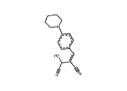 N#CC(=Cc1ccc(N2CCCCC2)cc1)C(O)C#N